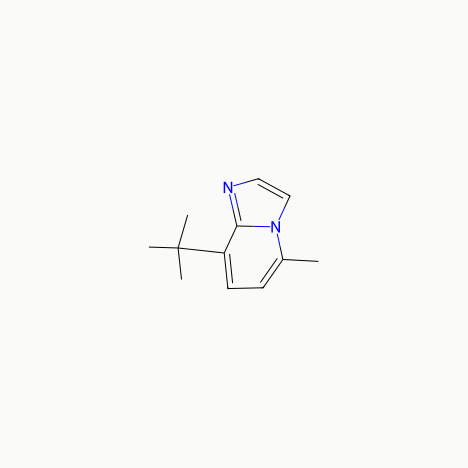 Cc1ccc(C(C)(C)C)c2nccn12